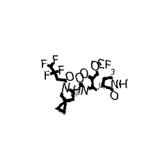 O=C(COC(F)(F)F)C(C[C@@H]1CCNC1=O)NC(=O)[C@@H]1CC2(CC2)CN1C(=O)CC(F)(F)C(F)F